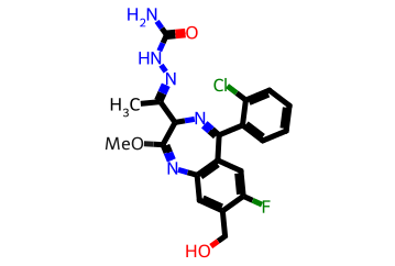 COC1=Nc2cc(CO)c(F)cc2C(c2ccccc2Cl)=NC1/C(C)=N/NC(N)=O